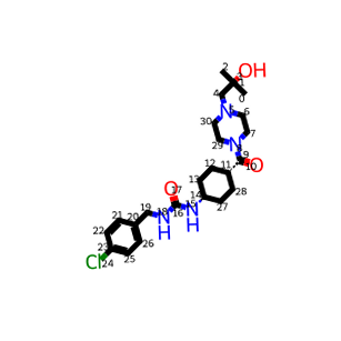 CC(C)(O)CN1CCN(C(=O)[C@H]2CC[C@@H](NC(=O)NCc3ccc(Cl)cc3)CC2)CC1